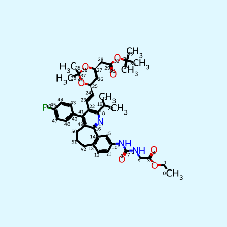 CCOC(=O)CNC(=O)Nc1ccc2c(c1)-c1nc(C(C)C)c(/C=C/[C@@H]3C[C@H](CC(=O)OC(C)(C)C)OC(C)(C)O3)c(-c3ccc(F)cc3)c1CCC2